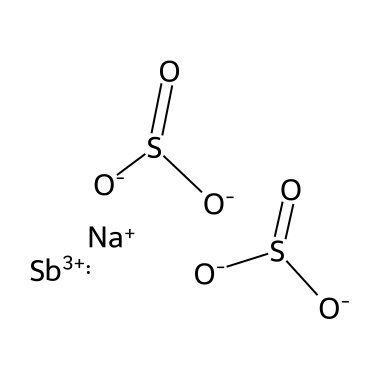 O=S([O-])[O-].O=S([O-])[O-].[Na+].[Sb+3]